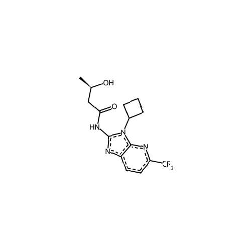 C[C@@H](O)CC(=O)Nc1nc2ccc(C(F)(F)F)nc2n1C1CCC1